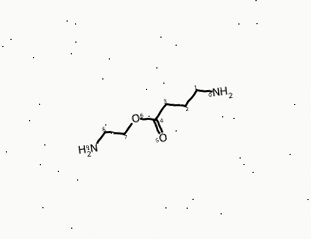 NCCCC(=O)OCCN